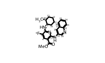 COC(=O)c1cc(F)c(N[C@@H]2CCCC[C@@H]2C)nc1Nc1cnc2ccccc2c1